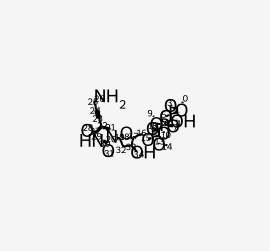 COP(=O)(O)OP(=O)(OC)OP(=O)(OC)OCC1OC(n2cc(C#CCN)c(=O)[nH]c2=O)CC1O